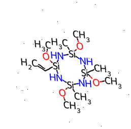 C=C[Si]1(OC)N[Si](C)(OC)N[Si](C)(OC)N[Si](C)(OC)N1